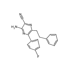 N#Cc1nc(CCc2ccccc2)c(-c2ccc(F)cc2)nc1N